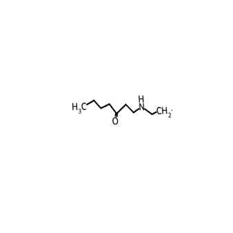 [CH2]CNCCC(=O)CCCC